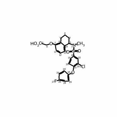 CN(C1CCCc2c(OCC(=O)O)cccc21)S(=O)(=O)c1ccc(Oc2ccc(F)cc2)c(Cl)c1